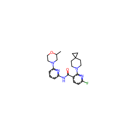 CC1CN(c2cccc(NC(=O)c3ccc(F)nc3N3CCC4(CC3)CC4)n2)CCO1